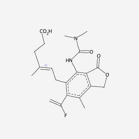 C=C(F)c1c(C)c2c(c(NC(=O)N(C)C)c1C/C=C(\C)CCC(=O)O)C(=O)OC2